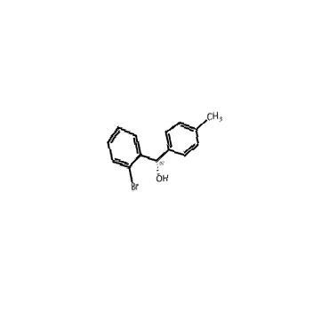 Cc1ccc([C@H](O)c2ccccc2Br)cc1